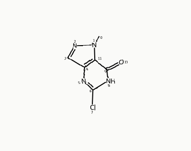 Cn1ncc2nc(Cl)[nH]c(=O)c21